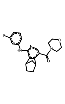 O=C(c1cnc(Nc2cccc(F)c2)c2c1C1CCC2C1)N1CCOCC1